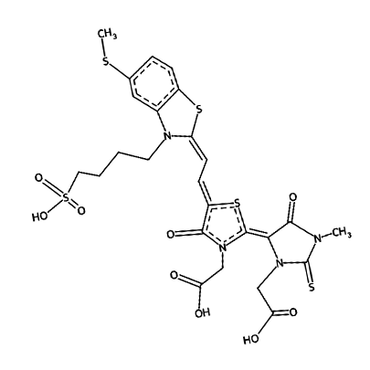 CSc1ccc2c(c1)N(CCCCS(=O)(=O)O)C(=CC=c1s/c(=C3\C(=O)N(C)C(=S)N3CC(=O)O)n(CC(=O)O)c1=O)S2